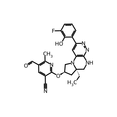 CC[C@@]12CNc3nnc(-c4cccc(F)c4O)cc3N1C[C@H](Oc1nc(C)c(C=O)cc1C#N)C2